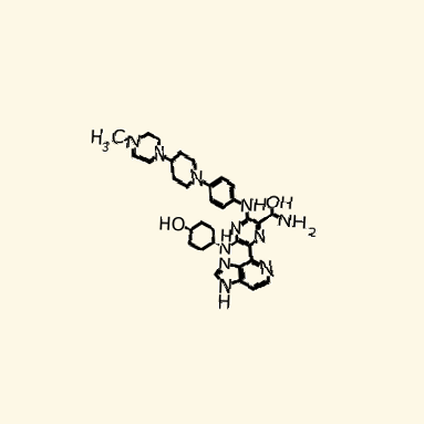 CN1CCN(C2CCN(c3ccc(Nc4nc(N[C@H]5CC[C@H](O)CC5)c(-c5nccc6[nH]cnc56)nc4C(N)O)cc3)CC2)CC1